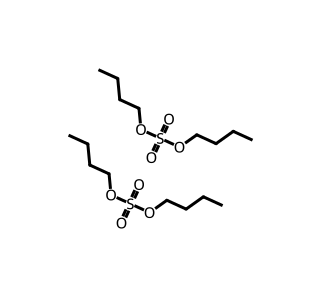 CCCCOS(=O)(=O)OCCCC.CCCCOS(=O)(=O)OCCCC